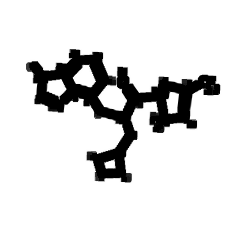 Cn1cnc2c(CN(CC3CCC3)C(=O)c3cc(C(F)(F)F)n[nH]3)cccc21